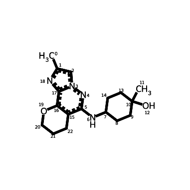 Cc1cn2nc(NC3CCC(C)(O)CC3)c3c(c2n1)OCCC3